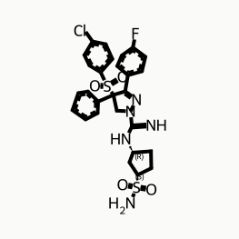 N=C(N[C@@H]1CC[C@H](S(N)(=O)=O)C1)N1CC(c2ccccc2)(S(=O)(=O)c2ccc(Cl)cc2)C(c2ccc(F)cc2)=N1